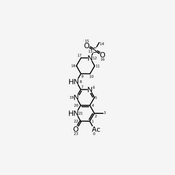 CC(=O)c1c(C)c2cnc(NC3CCN(S(C)(=O)=O)CC3)nc2[nH]c1=O